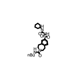 CCCCNC(=O)N1CCc2ccc(S(=O)(=O)NC(=O)NC3CCCCC3)cc2CC1